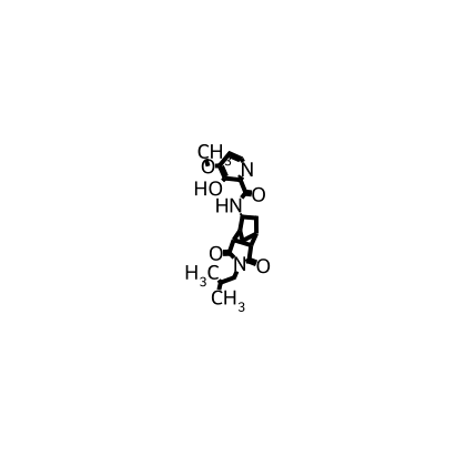 COc1ccnc(C(=O)N[C@@H]2CC3CC2C2C(=O)N(CC(C)C)C(=O)C32)c1O